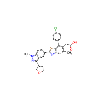 Cc1cc2nc(-c3ccc4c(c3)c(C3=CCOC3)nn4C)sc2c(-c2ccc(Cl)cc2)c1CC(=O)O